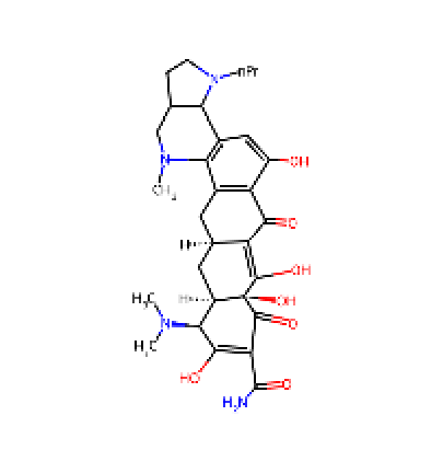 CCCN1CCC2CN(C)c3c(cc(O)c4c3C[C@@H]3C[C@@H]5[C@H](N(C)C)C(O)=C(C(N)=O)C(=O)[C@@]5(O)C(O)=C3C4=O)C21